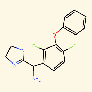 NC(C1=NCCN1)c1ccc(F)c(Oc2ccccc2)c1F